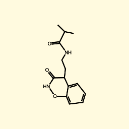 CC(C)C(=O)NCCC1C(=O)NOc2ccccc21